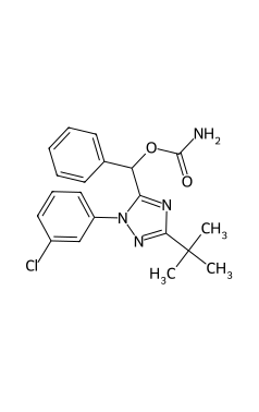 CC(C)(C)c1nc(C(OC(N)=O)c2ccccc2)n(-c2cccc(Cl)c2)n1